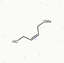 COC/C=C\CO